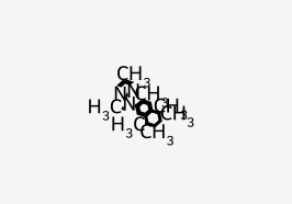 CCN(c1ncc(C)cn1)c1cc2c(cc1C)C(C)(C)CCC2(C)C